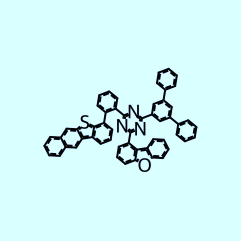 c1ccc(-c2cc(-c3ccccc3)cc(-c3nc(-c4ccccc4-c4cccc5c4sc4cc6ccccc6cc45)nc(-c4cccc5oc6ccccc6c45)n3)c2)cc1